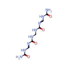 NC(=O)NC=NC(=O)NCNC(=O)N=CNC(N)=O